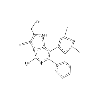 Cc1cc(-c2c(-c3ccccc3)nc(N)[n+]3c(=O)n(CC(C)C)[nH]c23)cc(C)n1